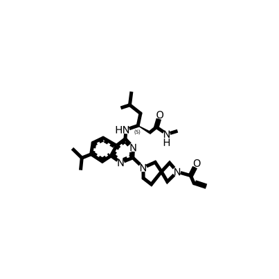 C=CC(=O)N1CC2(CCN(c3nc(N[C@H](CC(=O)NC)CC(C)C)c4ccc(C(C)C)cc4n3)C2)C1